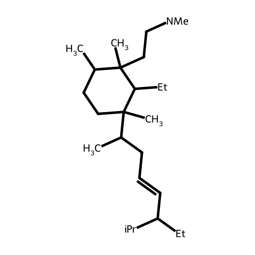 CCC(/C=C/CC(C)C1(C)CCC(C)C(C)(CCNC)C1CC)C(C)C